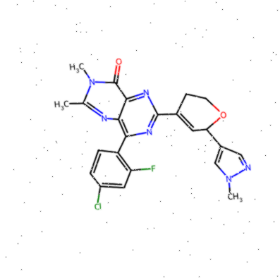 Cc1nc2c(-c3ccc(Cl)cc3F)nc(C3=CC(c4cnn(C)c4)OCC3)nc2c(=O)n1C